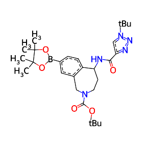 CC(C)(C)OC(=O)N1CCC(NC(=O)c2cn(C(C)(C)C)nn2)c2ccc(B3OC(C)(C)C(C)(C)O3)cc2C1